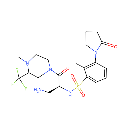 Cc1c(N2CCCC2=O)cccc1S(=O)(=O)N[C@@H](CN)C(=O)N1CCN(C)C(C(F)(F)F)C1